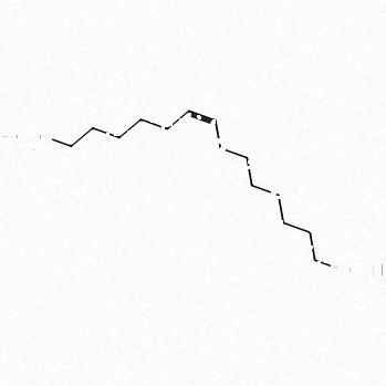 O=C(O)CCCCC/C=C\CCCCCCCC(=O)O